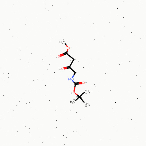 COC(=O)CC(=O)CNC(=O)OC(C)(C)C